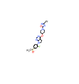 CC(C)c1noc(N2CCC(Oc3ncnc4c3CCN4c3ccc([S@+](C)[O-])cc3F)CC2)n1